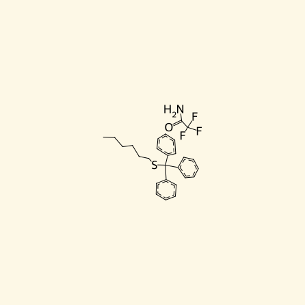 CCCCCCSC(c1ccccc1)(c1ccccc1)c1ccccc1.NC(=O)C(F)(F)F